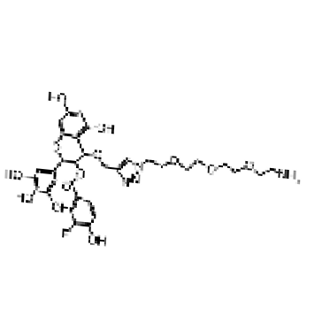 NCCOCCOCCOCCn1cc(COC2c3c(O)cc(O)cc3OC(c3cc(O)c(O)c(O)c3)C2OC(=O)c2ccc(O)c(F)c2)nn1